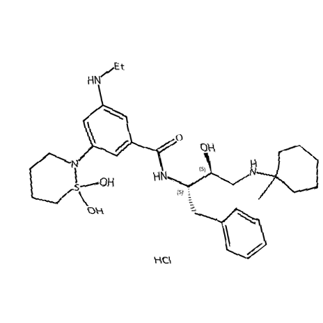 CCNc1cc(C(=O)N[C@@H](Cc2ccccc2)[C@@H](O)CNC2(C)CCCCC2)cc(N2CCCCS2(O)O)c1.Cl